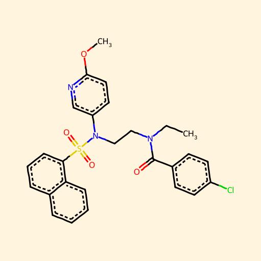 CCN(CCN(c1ccc(OC)nc1)S(=O)(=O)c1cccc2ccccc12)C(=O)c1ccc(Cl)cc1